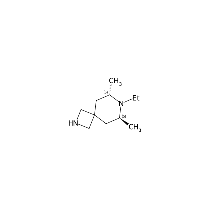 CCN1[C@@H](C)CC2(CNC2)C[C@@H]1C